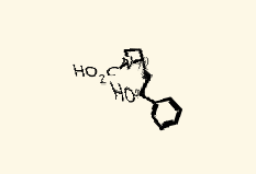 O=C(O)N1CC[C@H]1C[C@@H](O)c1ccccc1